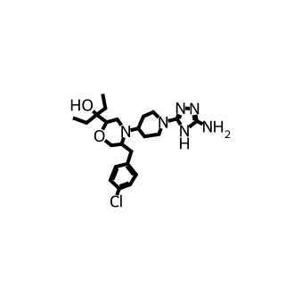 CCC(O)(CC)C1CN(C2CCN(c3nnc(N)[nH]3)CC2)C(Cc2ccc(Cl)cc2)CO1